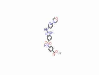 CC(C)OC(=O)c1ccc(NS(=O)(=O)c2ccc3[nH]c(Nc4ccc(N5CCOCC5)nc4)nc3c2)cc1